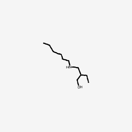 CCCCCCNCC(CC)CO